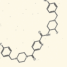 N#Cc1ccc(CN2CCC(NC(=O)c3ccc(C(=O)N4CCN(Cc5ccc(F)cc5)CC4)cn3)C(F)C2)cc1